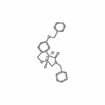 O=C1[C@@H]2c3cc(OCc4ccccc4)ccc3CO[C@H]2CN1Cc1ccccc1